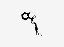 CC#CCOC(=O)c1ccccc1Cl